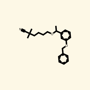 CC(OCCCCC(C)(C)C#N)c1cccc(OCc2ccccc2)c1